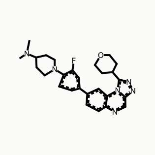 CN(C)C1CCN(c2ccc(-c3ccc4ncc5nnc(C6CCOCC6)n5c4c3)cc2F)CC1